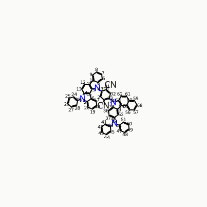 N#Cc1cc(-n2c3ccccc3c3ccc4c(c5ccccc5n4-c4ccccc4)c32)c(C#N)cc1-n1c2ccc(N(c3ccccc3)c3ccccc3)cc2c2c3ccccc3ccc21